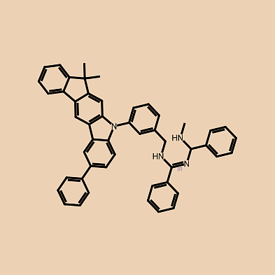 CNC(/N=C(\NCc1cccc(-n2c3ccc(-c4ccccc4)cc3c3cc4c(cc32)C(C)(C)c2ccccc2-4)c1)c1ccccc1)c1ccccc1